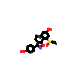 CCc1c(-c2ccc(O)cc2)noc1-c1ccc(O)cc1[S+](C)[O-]